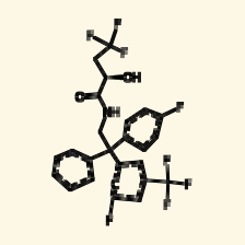 O=C(NCC(c1ccccc1)(c1ccc(F)cc1)c1cc(F)cc(C(F)(F)F)c1)[C@H](O)CC(F)(F)F